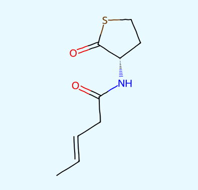 C/C=C/CC(=O)N[C@H]1CCSC1=O